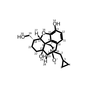 [O-][N+]1(CC2CC2)CC[C@]23c4c5ccc(O)c4O[C@H]2[C@@H](CO)CC[C@@]3(O)[C@H]1C5